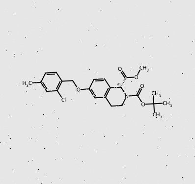 COC(=O)[C@H]1c2ccc(OCc3ccc(C)cc3Cl)cc2CCN1C(=O)OC(C)(C)C